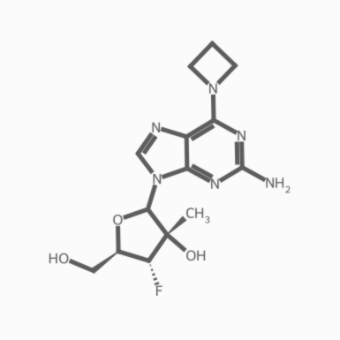 C[C@]1(O)C(n2cnc3c(N4CCC4)nc(N)nc32)O[C@H](CO)[C@H]1F